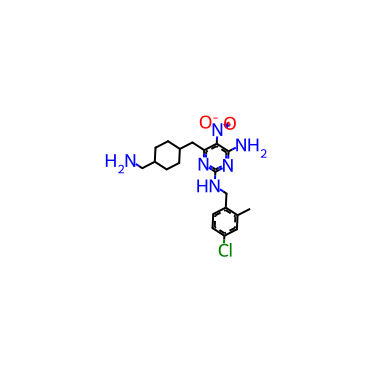 Cc1cc(Cl)ccc1CNc1nc(N)c([N+](=O)[O-])c(CC2CCC(CN)CC2)n1